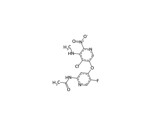 CNc1c([N+](=O)[O-])ncc(Oc2cc(NC(C)=O)ncc2F)c1Cl